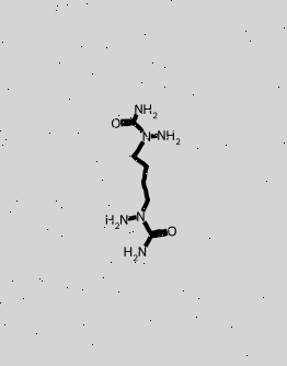 NC(=O)N(N)[CH]CCCN(N)C(N)=O